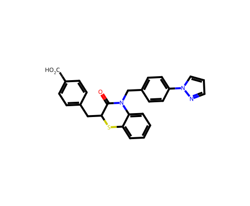 O=C(O)c1ccc(CC2Sc3ccccc3N(Cc3ccc(-n4cccn4)cc3)C2=O)cc1